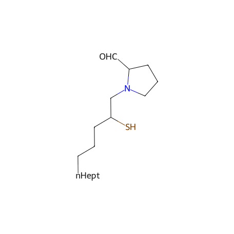 CCCCCCCCCCC(S)CN1CCCC1C=O